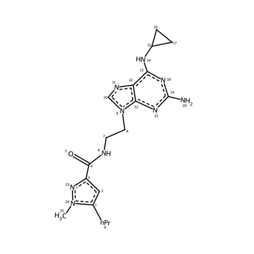 CCCc1cc(C(=O)NCCn2cnc3c(NC4CC4)nc(N)nc32)nn1C